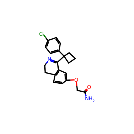 NC(=O)COc1ccc2c(c1)C(C1(c3ccc(Cl)cc3)CCC1)=NCC2